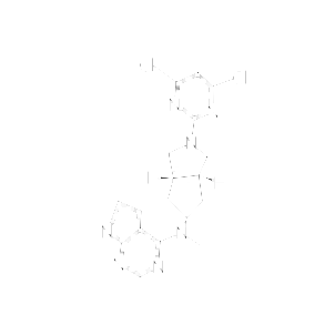 CN(c1ncnc2[nH]ccc12)[C@H]1C[C@@H]2CN(c3nc(Cl)cc(Cl)n3)C[C@@H]2C1